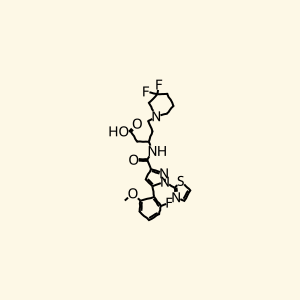 COc1cccc(F)c1-c1cc(C(=O)NC(CCN2CCCC(F)(F)C2)CC(=O)O)nn1-c1nccs1